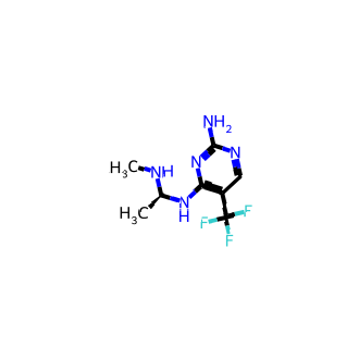 CN[C@H](C)Nc1nc(N)ncc1C(F)(F)F